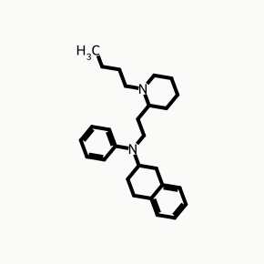 CCCCN1CCCCC1CCN(c1ccccc1)C1CCc2ccccc2C1